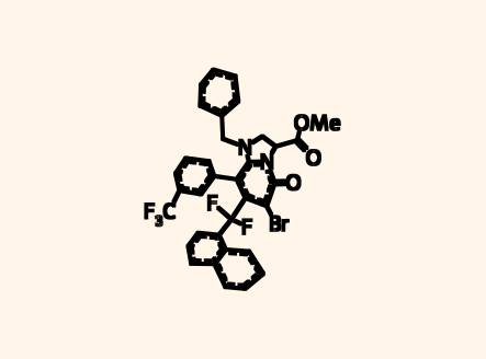 COC(=O)C1CN(Cc2ccccc2)c2c(-c3cccc(C(F)(F)F)c3)c(C(F)(F)c3cccc4ccccc34)c(Br)c(=O)n21